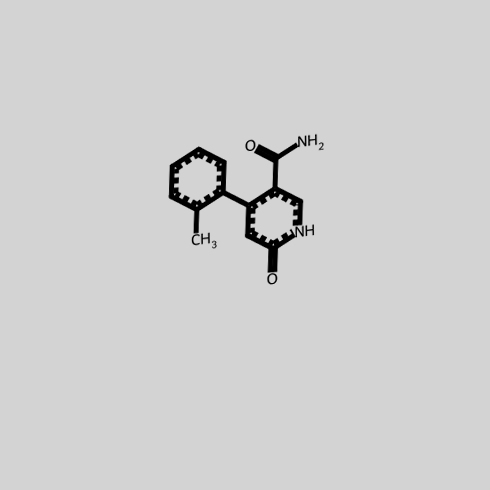 Cc1ccccc1-c1cc(=O)[nH]cc1C(N)=O